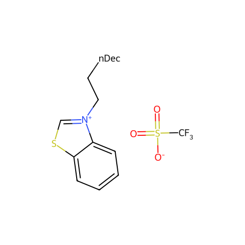 CCCCCCCCCCCC[n+]1csc2ccccc21.O=S(=O)([O-])C(F)(F)F